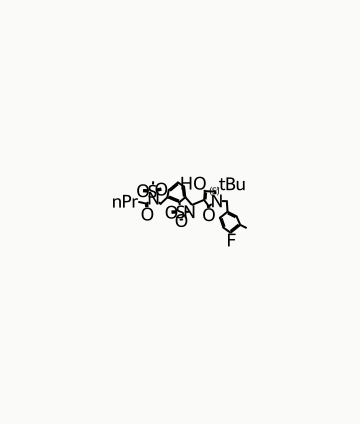 CCCC(=O)N(Cc1cccc2c1S(=O)(=O)N=C2C1=C(O)[C@H](C(C)(C)C)N(Cc2ccc(F)c(C)c2)C1=O)S(C)(=O)=O